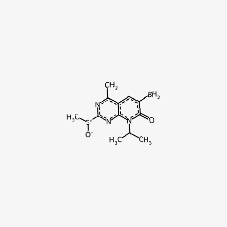 Bc1cc2c(C)nc([S+](C)[O-])nc2n(C(C)C)c1=O